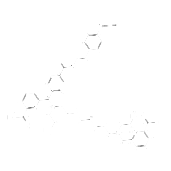 O=C(NCCc1ccc(N=C=S)cc1)c1ccc(C(c2cccc(C(=O)O)n2)N(CCO)CCOCCOCCN(CCO)Cc2cccc(C(=O)O)n2)cc1